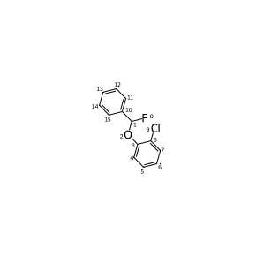 FC(Oc1cc[c]cc1Cl)c1ccccc1